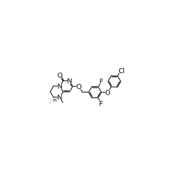 C[C@@H]1CCn2c(cc(OCc3cc(F)c(Oc4ccc(Cl)cc4)c(F)c3)nc2=O)N1C